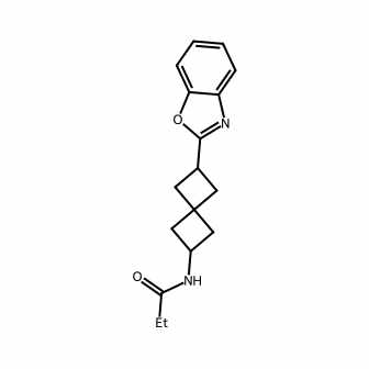 CCC(=O)NC1CC2(C1)CC(c1nc3ccccc3o1)C2